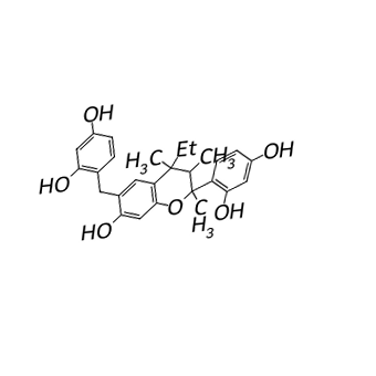 CCC1(C)c2cc(Cc3ccc(O)cc3O)c(O)cc2OC(C)(c2ccc(O)cc2O)C1C